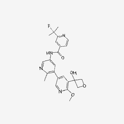 COc1ncc(-c2cc(NC(=O)c3ccnc(C(C)(C)F)c3)cnc2C)cc1C1(O)COC1